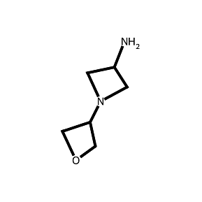 NC1CN(C2COC2)C1